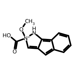 CO[N+]1(C(=O)O)C=C2C=c3ccccc3=C2N1